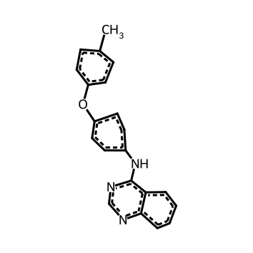 Cc1ccc(Oc2ccc(Nc3ncnc4ccccc34)cc2)cc1